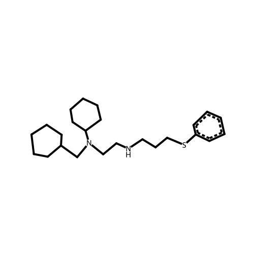 c1ccc(SCCCNCCN(CC2CCCCC2)C2CCCCC2)cc1